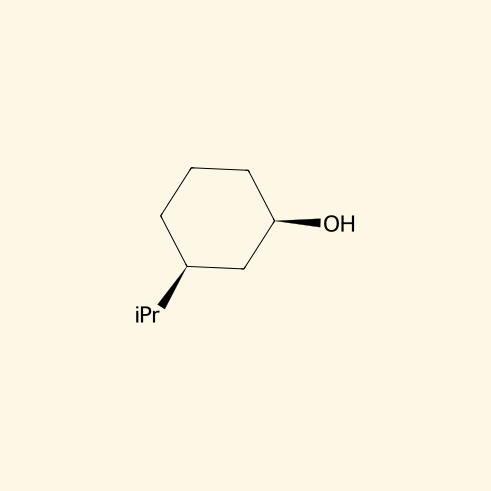 CC(C)[C@H]1CCC[C@@H](O)C1